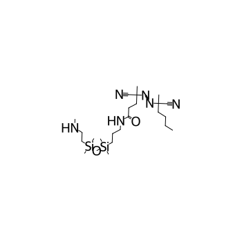 CCCCC(C)(C#N)N=NC(C)(C#N)CCC(=O)NCCC[Si](C)(C)O[Si](C)(C)CCNC